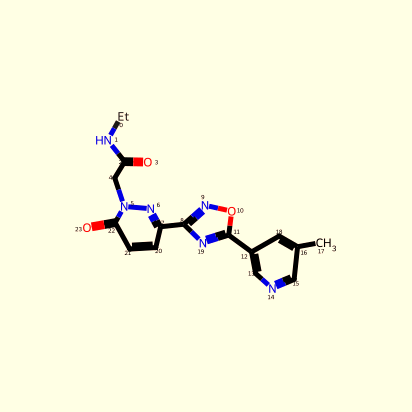 CCNC(=O)Cn1nc(-c2noc(-c3cncc(C)c3)n2)ccc1=O